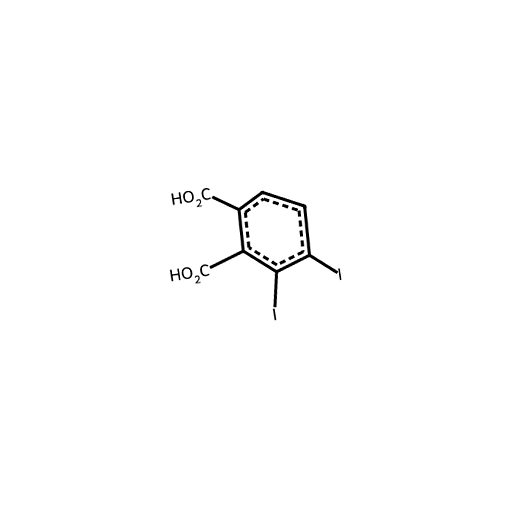 O=C(O)c1ccc(I)c(I)c1C(=O)O